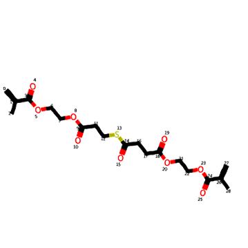 C=C(C)C(=O)OCCOC(=O)CCSC(=O)CCC(=O)OCCOC(=O)C(=C)C